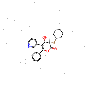 CC1(SC2CCCCC2)C(=O)OC(c2ccccc2)=C(c2cccnc2)C1O